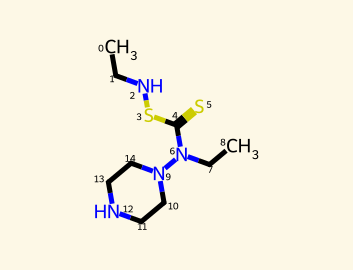 CCNSC(=S)N(CC)N1CCNCC1